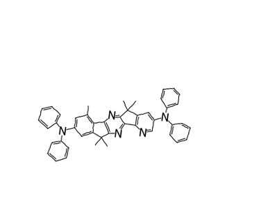 Cc1cc(N(c2ccccc2)c2ccccc2)cc2c1-c1nc3c(nc1C2(C)C)-c1ncc(N(c2ccccc2)c2ccccc2)cc1C3(C)C